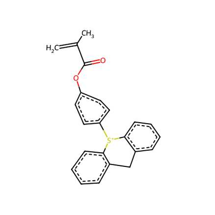 C=C(C)C(=O)Oc1ccc([S+]2c3ccccc3Cc3ccccc32)cc1